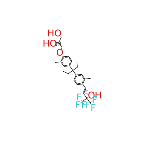 CCC(CC)(c1ccc(/C=C/C(O)(C(F)(F)F)C(F)(F)F)c(C)c1)c1ccc(OC[C@@H](O)CO)c(C)c1